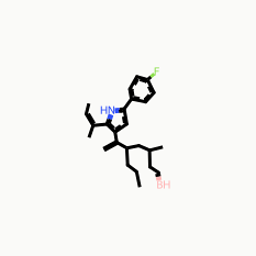 B=CCC(C)CC(CCC)C(=C)c1cc(-c2ccc(F)cc2)[nH]c1/C(C)=C\C